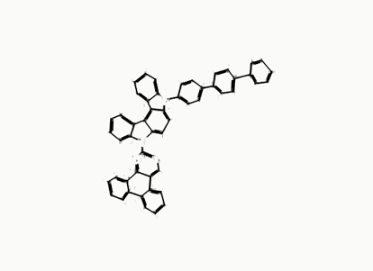 c1ccc(-c2ccc(-c3ccc(-n4c5ccccc5c5c6c7ccccc7n(-c7ncc8c9ccccc9c9ccccc9c8n7)c6ccc54)cc3)cc2)cc1